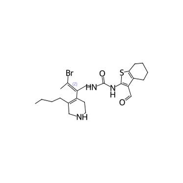 CCCCC1=C(/C(CNC(=O)Nc2sc3c(c2C=O)CCCC3)=C(\C)Br)CCNC1